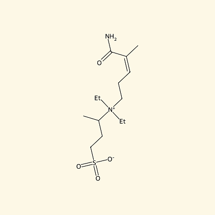 CC[N+](CC)(CCC=C(C)C(N)=O)C(C)CCS(=O)(=O)[O-]